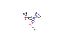 COc1cc(C(=O)N2CC3CC4CC2[C@H]43)cc2nc(-c3cc4cccnc4n3CC3CC3)n(CC3CN(C(=O)C#CC4=CC=CCC4)C3)c12